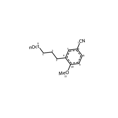 CCCCCCCCCCCc1cc(C#N)ccc1OC